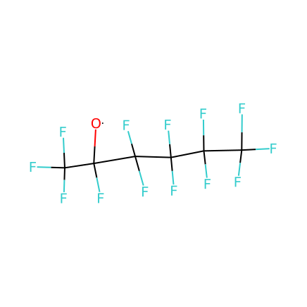 [O]C(F)(C(F)(F)F)C(F)(F)C(F)(F)C(F)(F)C(F)(F)F